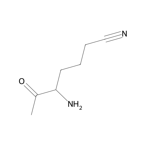 CC(=O)C(N)CCCC#N